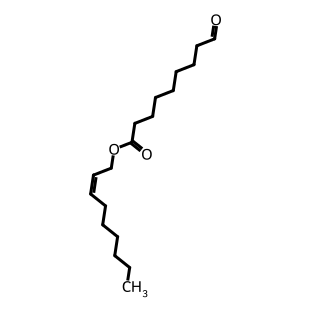 CCCCCC/C=C\COC(=O)CCCCCCCC=O